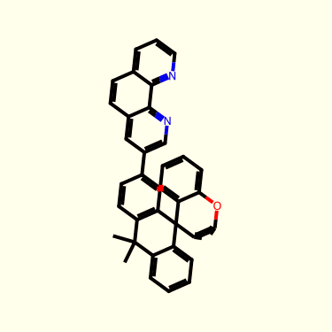 CC1(C)c2ccccc2C2(c3ccccc3Oc3ccccc32)c2cc(-c3cnc4c(ccc5cccnc54)c3)ccc21